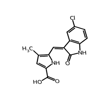 Cc1cc(C(=O)O)[nH]c1C=C1C(=O)Nc2ccc(Cl)cc21